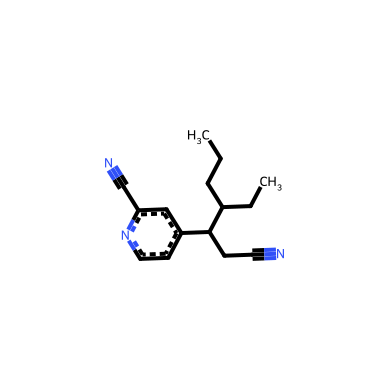 CCCC(CC)C(CC#N)c1ccnc(C#N)c1